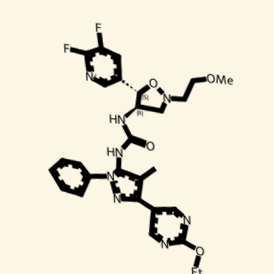 CCOc1ncc(-c2nn(-c3ccccc3)c(NC(=O)N[C@@H]3CN(CCOC)O[C@H]3c3cnc(F)c(F)c3)c2C)cn1